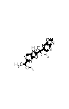 CC(C)c1ncc2nc(C(C)(C)c3cnc4nnoc4n3)oc2n1